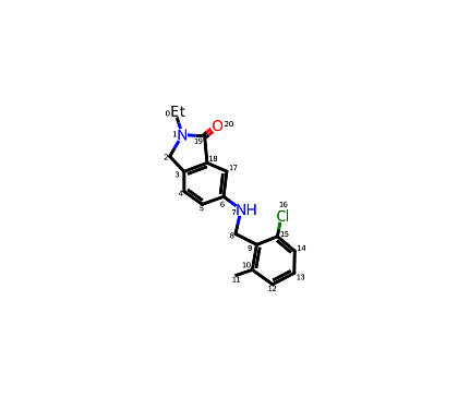 CCN1Cc2ccc(NCc3c(C)cccc3Cl)cc2C1=O